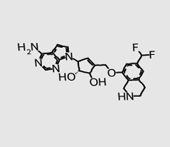 Nc1ncnc2c1ccn2C1C=C(COc2cc(C(F)F)cc3c2CNCC3)C(O)[C@@H]1O